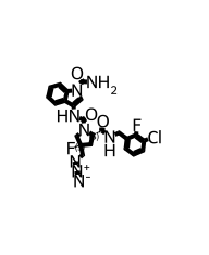 [N-]=[N+]=NC[C@]1(F)C[C@@H](C(=O)NCc2cccc(Cl)c2F)N(C(=O)Nc2cn(C(N)=O)c3ccccc23)C1